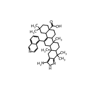 CC1(C)CC[C@]2(C(=O)O)CCC3C(=C(c4cccc5cnccc45)CC4[C@@]3(C)CCC3C(C)(C)c5n[nH]c(N)c5C[C@@]34C)C2C1